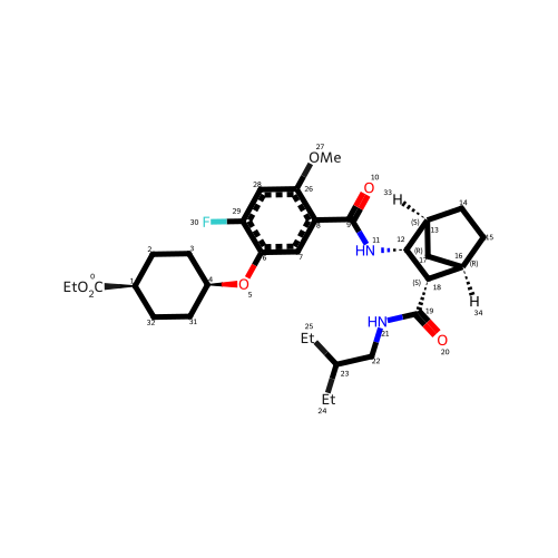 CCOC(=O)[C@H]1CC[C@@H](Oc2cc(C(=O)N[C@@H]3[C@H]4CC[C@H](C4)[C@@H]3C(=O)NCC(CC)CC)c(OC)cc2F)CC1